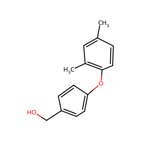 Cc1ccc(Oc2ccc(CO)cc2)c(C)c1